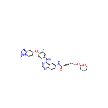 Cc1cc(Nc2ncnc3ccc(NC(=O)C#CCCOC4CCCCO4)cc23)ccc1Oc1ccn2c(c1)nc[n+]2C